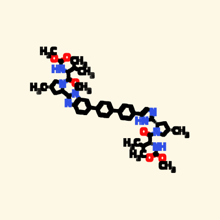 COC(=O)N[C@H](C(=O)N1C[C@@H](C)CC1c1nc2ccc(-c3ccc(-c4ccc(-c5cnc([C@@H]6C[C@H](C)CN6C(=O)[C@H](NC(=O)OC)C(C)C)[nH]5)cc4)cc3)cc2n1C)C(C)C